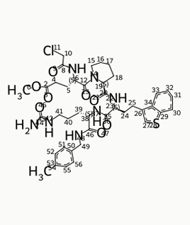 COC(=O)CC[C@H](NC(=O)CCl)C(=O)N1CCCC[C@H]1C(=O)N[C@@H](CCc1csc2ccccc12)C(=O)N[C@@H](CCCNC(N)=O)C(=O)NCc1ccc(C)cc1